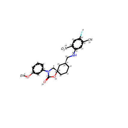 CCOc1cccc(N2C[C@@]3(CCC[C@H](CNc4cc(C#N)c(F)cc4[N+](=O)[O-])C3)OC2=O)c1